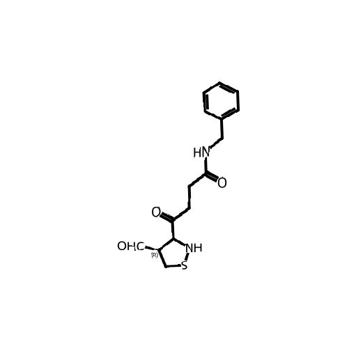 O=C[C@@H]1CSNC1C(=O)CCC(=O)NCc1ccccc1